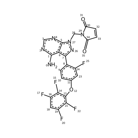 Nc1ncnc2c1c(-c1ccc(Oc3c(F)c(F)cc(F)c3F)cc1F)nn2CN1C(=O)C=CC1=O